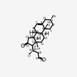 C[C@H]1CC[C@@]2(C)C(=CC[C@@H]3[C@@H]2CC[C@]2(C)C([C@H](C)CC=O)C(=O)C[C@@H]32)C1